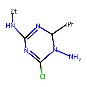 CCNC1=NC(C(C)C)N(N)C(Cl)=N1